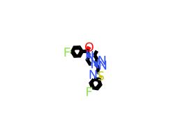 CC1c2nnc(-c3nc4cc(F)ccc4s3)n2CCN1C(=O)c1ccc(F)cc1